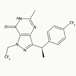 Cc1nc2c([C@H](C)c3ccc(C(F)(F)F)cc3)nn(CC(F)(F)F)c2c(=O)[nH]1